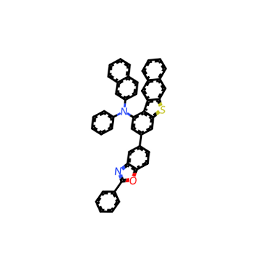 c1ccc(-c2nc3cc(-c4cc(N(c5ccccc5)c5ccc6ccccc6c5)c5c(c4)sc4cc6ccccc6cc45)ccc3o2)cc1